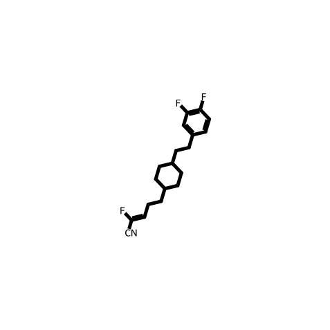 N#CC(F)=CCCC1CCC(CCc2ccc(F)c(F)c2)CC1